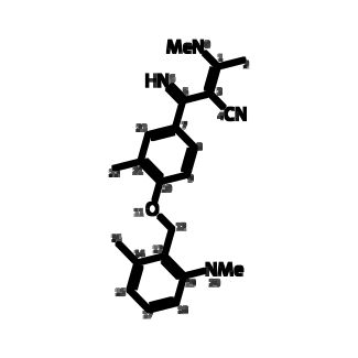 CN/C(C)=C(/C#N)C(=N)c1ccc(OCc2c(C)cccc2NC)c(C)c1